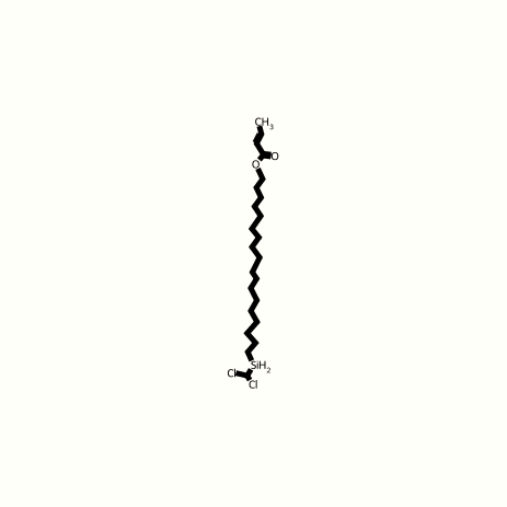 CC=CC(=O)OCCCCCCCCCCCCCCCCCC[SiH2]C(Cl)Cl